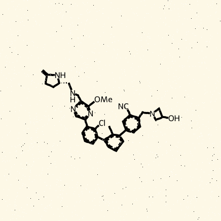 C=C1CC[C@@H](CNCc2ncc(-c3cccc(-c4cccc(-c5ccc(CN6CC(O)C6)c(C#N)c5)c4C)c3Cl)nc2OC)N1